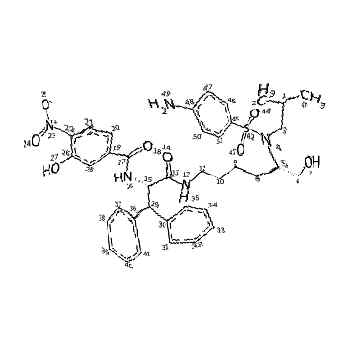 CC(C)CN([C@H](CO)CCCCNC(=O)[C@@H](NC(=O)c1ccc([N+](=O)[O-])c(O)c1)C(c1ccccc1)c1ccccc1)S(=O)(=O)c1ccc(N)cc1